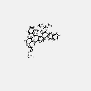 CCOC(=O)CN1C(=O)C(NC(=O)[C@H](Cc2ccccc2)NC(=O)OC(C)(C)C)C=C(c2ccccc2)c2ccccc21